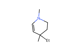 CCC1(C)C=CN(C)CC1